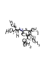 C=NC(CO)N/C=C(\C)CN(C)C(CC)CCOC